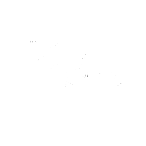 Cc1ccc(C(C)C(=O)NC2CC2C)cc1